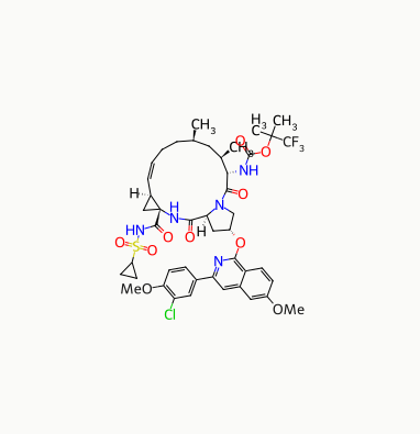 COc1ccc2c(O[C@@H]3C[C@H]4C(=O)N[C@]5(C(=O)NS(=O)(=O)C6CC6)C[C@H]5/C=C\CC[C@@H](C)C[C@@H](C)[C@H](NC(=O)OC(C)(C)C(F)(F)F)C(=O)N4C3)nc(-c3ccc(OC)c(Cl)c3)cc2c1